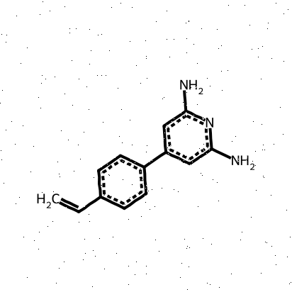 C=Cc1ccc(-c2cc(N)nc(N)c2)cc1